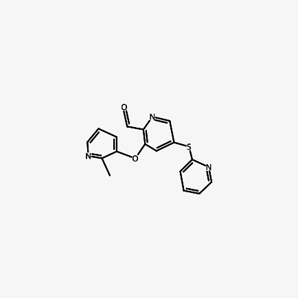 Cc1ncccc1Oc1cc(Sc2ccccn2)cnc1C=O